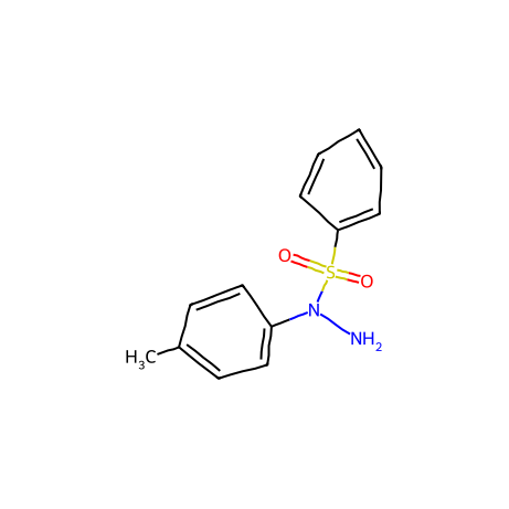 Cc1ccc(N(N)S(=O)(=O)c2ccccc2)cc1